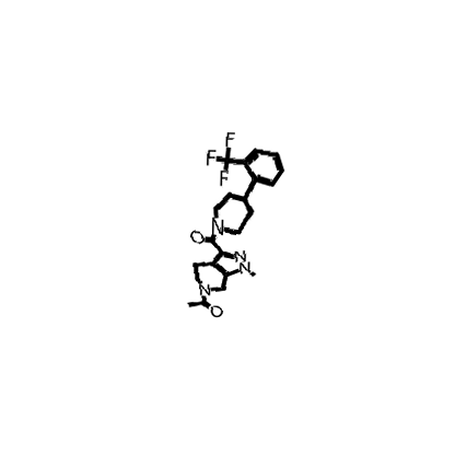 CC(=O)N1CCc2c(C(=O)N3CCC(c4ccccc4C(F)(F)F)CC3)nn(C)c2C1